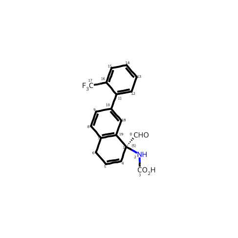 O=C[C@]1(NC(=O)O)C=CCc2ccc(-c3ccccc3C(F)(F)F)cc21